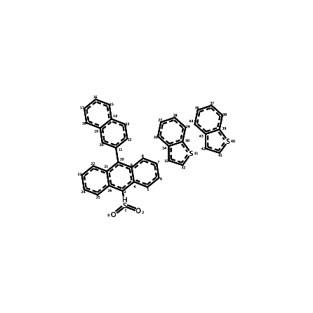 O=[SH](=O)c1c2ccccc2c(-c2ccc3ccccc3c2)c2ccccc12.c1ccc2sccc2c1.c1ccc2sccc2c1